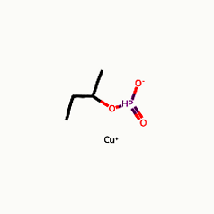 CCC(C)O[PH](=O)[O-].[Cu+]